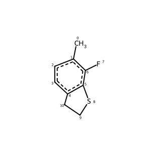 Cc1ccc2c(c1F)SCC2